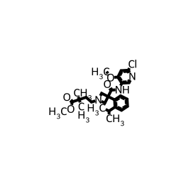 COC(=O)C(C)(C)CCN1CC(C(=O)Nc2cnc(Cl)cc2OC)(c2ccccc2C(C)C)C1